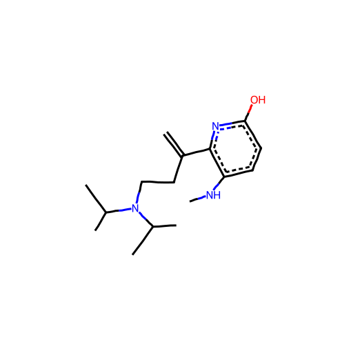 C=C(CCN(C(C)C)C(C)C)c1nc(O)ccc1NC